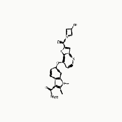 CNC(=O)c1c(C)n(C)c2cc(Oc3ccnc4cc(C(=O)N5CC(O)C5)sc34)ccc12